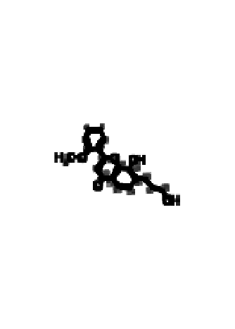 COc1ccccc1-c1cc(=O)c2ccc(CCCO)c(O)c2o1